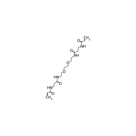 C=CC(=O)NCCC(=O)NCCOCCOCCNC(=O)CCNC(=O)C=C